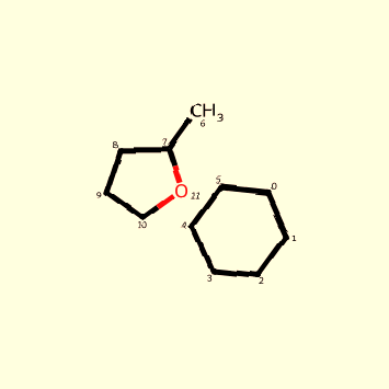 C1CCCCC1.CC1CCCO1